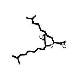 CC(C)CCCCCCC(SC(CCCCCCC(C)C)C1CO1)C1CO1